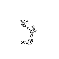 CCCCCCCCSc1ncc(-c2ccc([C@H](O[C@@H](c3ccc(-c4cnc(SCCCCCCCC)nc4)cc3)C3COC(=O)O3)C3COC(=O)O3)cc2)cn1